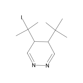 CC(C)(C)C1C=NN=CC1C(C)(C)I